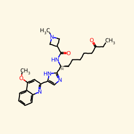 CCC(=O)CCCCC[C@H](NC(=O)C1CN(C)C1)c1ncc(-c2cc(OC)c3ccccc3n2)[nH]1